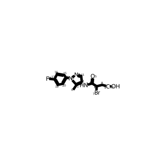 Cc1c(NC(=O)C(Br)CCO)cnn1-c1ccc(F)cc1